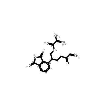 C=CC(=O)CCC(COC(=O)C(=C)C)c1cccc2c1C(=O)OC2=O